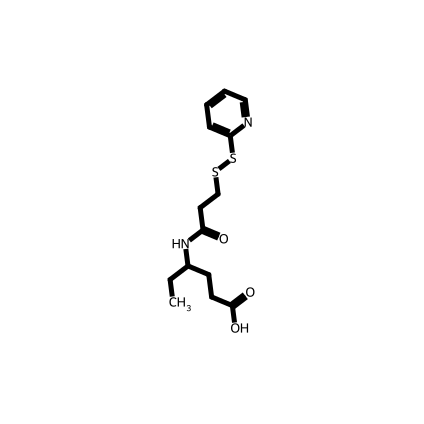 CCC(CCC(=O)O)NC(=O)CCSSc1ccccn1